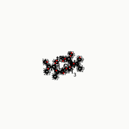 CC(C)(C)c1ccc(-c2cc(-c3cc(-c4ccccc4)cc(-c4ccccc4)c3)nc(-c3cc(-c4ccccc4)cc(-c4cccc(CC(C)(C)c5cccc(-c6nc(-c7cc(-c8ccccc8)cc(-c8ccccc8)c7)nc(-c7cc(-c8ccccc8)cc(-c8ccccc8)c7)n6)c5)c4)c3)c2)cc1